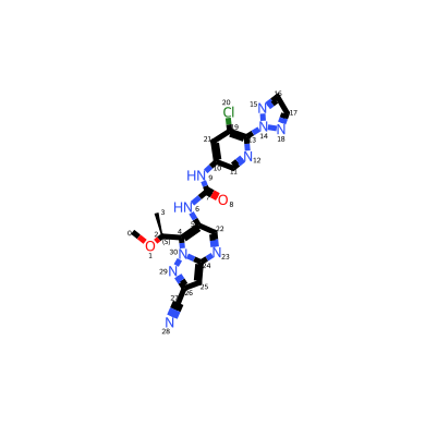 CO[C@@H](C)c1c(NC(=O)Nc2cnc(-n3nccn3)c(Cl)c2)cnc2cc(C#N)nn12